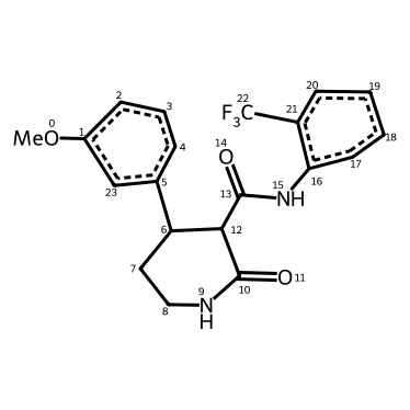 COc1cccc(C2CCNC(=O)C2C(=O)Nc2ccccc2C(F)(F)F)c1